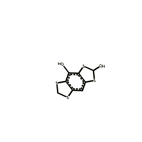 Oc1c2c(cc3c1SC(O)S3)SCS2